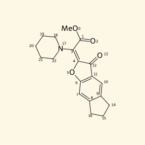 COC(=O)C(=C1Oc2cc3c(cc2C1=O)CCC3)N1CCCCC1